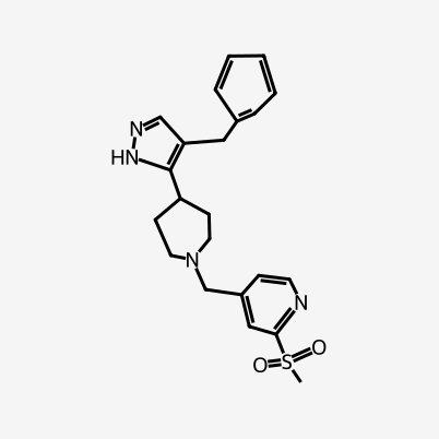 CS(=O)(=O)c1cc(CN2CCC(c3[nH]ncc3Cc3ccccc3)CC2)ccn1